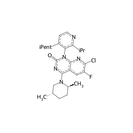 CCCC(C)c1ccnc(C(C)C)c1-n1c(=O)nc(N2C[C@@H](C)CC[C@@H]2C)c2cc(F)c(Cl)nc21